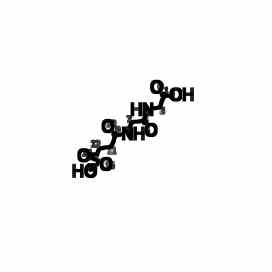 O=C(O)CNC(=O)CNC(=O)CCS(=O)(=O)O